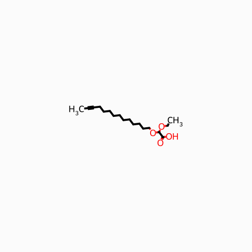 CC#CCCCCCCCCCCCOC(OCC)C(=O)O